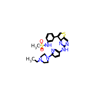 CCN1CCN(c2ccc(Nc3ncc4scc(-c5cccc(NS(C)(=O)=O)c5)c4n3)cn2)CC1